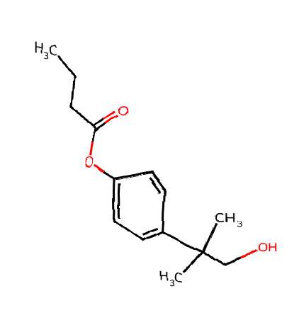 CCCC(=O)Oc1ccc(C(C)(C)CO)cc1